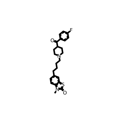 Cn1c(=O)sc2cc(CCCCN3CCC(C(=O)c4ccc(F)cc4)CC3)ccc21